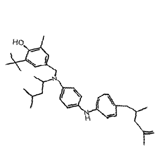 C=C(C)CC(C)Cc1ccc(Nc2ccc(N(Cc3cc(C)c(O)c(C(C)(C)C)c3)C(C)CC(C)C)cc2)cc1